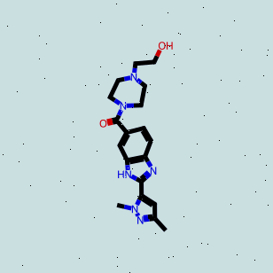 Cc1cc(-c2nc3ccc(C(=O)N4CCN(CCO)CC4)cc3[nH]2)n(C)n1